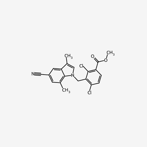 COC(=O)c1ccc(Cl)c(Cn2cc(C)c3cc(C#N)cc(C)c32)c1Cl